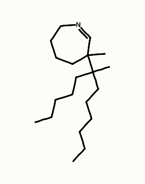 CCCCCCC(C)(CCCCC)C1(C)C=NCCCC1